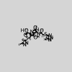 Cc1nnc(SCC2=C(C(=O)O)N3C(=O)[C@@H]4[C@H]3C2OCN4C(=O)CSc2nnnn2C)s1